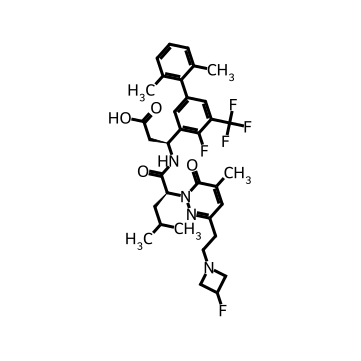 Cc1cccc(C)c1-c1cc([C@H](CC(=O)O)NC(=O)[C@H](CC(C)C)n2nc(CCN3CC(F)C3)cc(C)c2=O)c(F)c(C(F)(F)F)c1